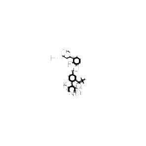 CC[C@@H](CC(=O)O)c1cccc(OCc2ccc(-c3cc(OC)ncc3F)c([C@@H](OC)C(C)(C)C)c2)c1F